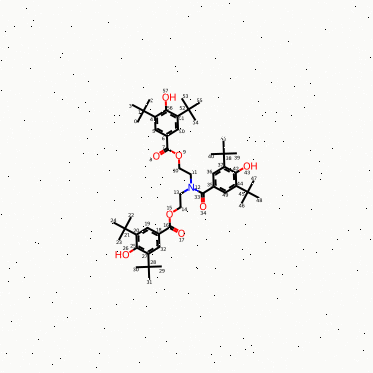 CC(C)(C)c1cc(C(=O)OCCN(CCOC(=O)c2cc(C(C)(C)C)c(O)c(C(C)(C)C)c2)C(=O)c2cc(C(C)(C)C)c(O)c(C(C)(C)C)c2)cc(C(C)(C)C)c1O